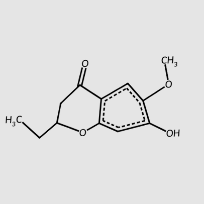 CCC1CC(=O)c2cc(OC)c(O)cc2O1